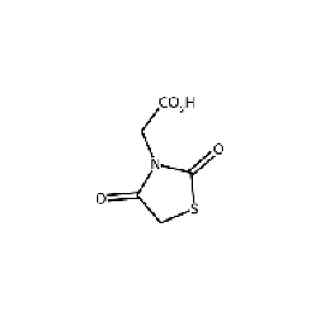 O=C(O)CN1C(=O)CSC1=O